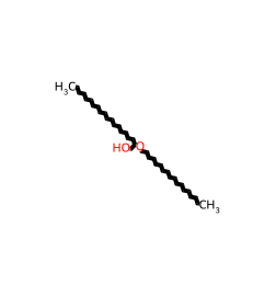 CCCCCCCCCCCCCCCCCCOC(CO)CCCCCCCCCCCCCCCCCC